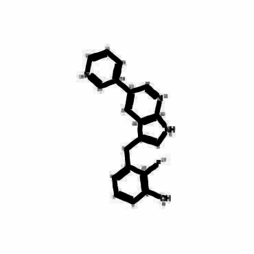 Oc1cccc(Cc2c[nH]c3ncc(-c4cccnc4)cc23)c1F